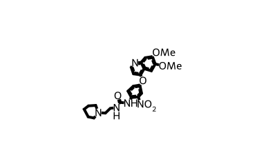 COc1cc2nccc(Oc3ccc(NC(=O)NCCN4CCCCC4)c([N+](=O)[O-])c3)c2cc1OC